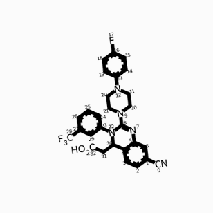 N#Cc1ccc2c(c1)N=C(N1CCN(c3ccc(F)cc3)CC1)N(c1cccc(C(F)(F)F)c1)C2CC(=O)O